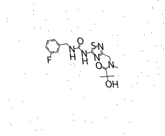 CN(Cc1nsc(NC(=O)NCc2cccc(F)c2)n1)C(=O)C(C)(C)O